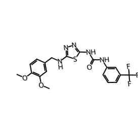 COc1ccc(CNc2nnc(NC(=O)Nc3cccc(C(F)(F)F)c3)s2)cc1OC